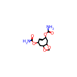 NC(=O)OC1/C=C/C(OC(N)=O)CC2OCOC2C1